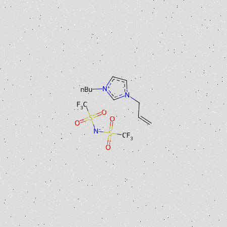 C=CCn1cc[n+](CCCC)c1.O=S(=O)([N-]S(=O)(=O)C(F)(F)F)C(F)(F)F